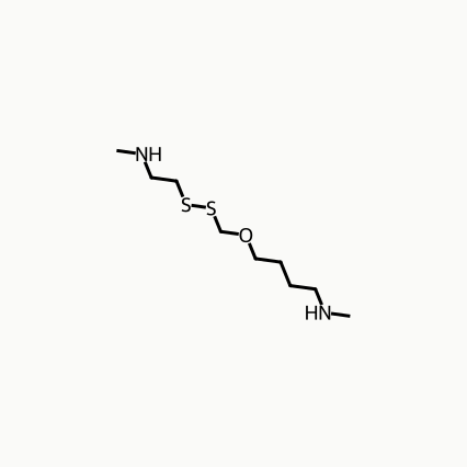 CNCCCCOCSSCCNC